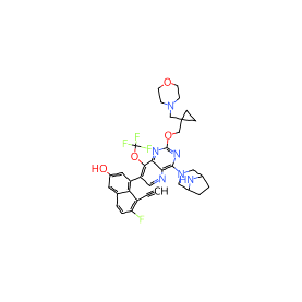 C#Cc1c(F)ccc2cc(O)cc(-c3cnc4c(N5CC6CCC(C5)N6)nc(OCC5(CN6CCOCC6)CC5)nc4c3OC(F)(F)F)c12